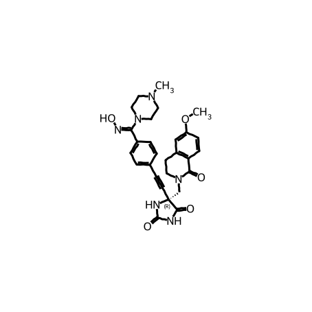 COc1ccc2c(c1)CCN(C[C@@]1(C#Cc3ccc(C(=NO)N4CCN(C)CC4)cc3)NC(=O)NC1=O)C2=O